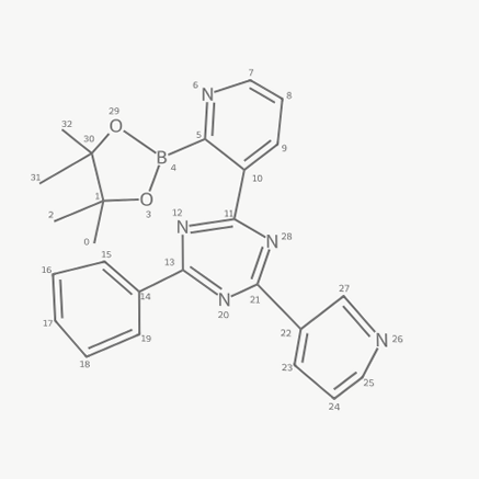 CC1(C)OB(c2ncccc2-c2nc(-c3ccccc3)nc(-c3cccnc3)n2)OC1(C)C